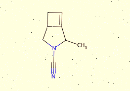 CC1C2=CCC2CN1C#N